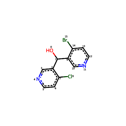 OC(c1cnccc1Cl)c1cnccc1Br